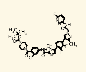 Cc1nn(CC(=O)Nc2ccc(F)nn2)cc1-c1ccc(-c2cnc(C(=O)Nc3ccc(C(=O)N4CCN(C(=O)OC(C)(C)C)CC4)c(Cl)c3)n2C)c(F)c1F